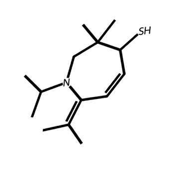 CC(C)=C1C=CC(S)C(C)(C)CN1C(C)C